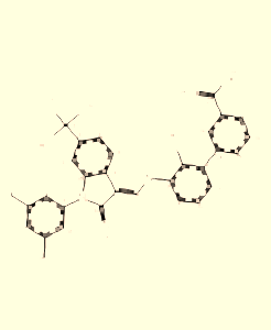 Cc1cc(C)cc(N2C(=O)/C(=C/Nc3cccc(-c4cccc(C(=O)O)c4)c3O)c3ccc(C(F)(F)F)cc32)c1